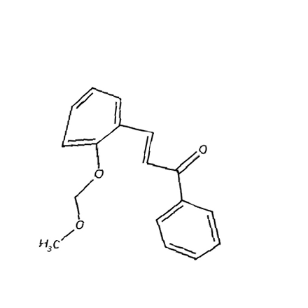 COCOc1ccccc1C=CC(=O)c1ccccc1